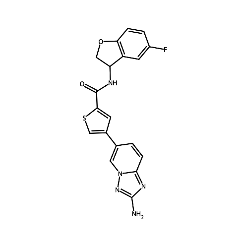 Nc1nc2ccc(-c3csc(C(=O)NC4COc5ccc(F)cc54)c3)cn2n1